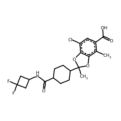 Cc1c(C(=O)O)cc(Cl)c2c1OC(C)(C1CCC(C(=O)NC3CC(F)(F)C3)CC1)O2